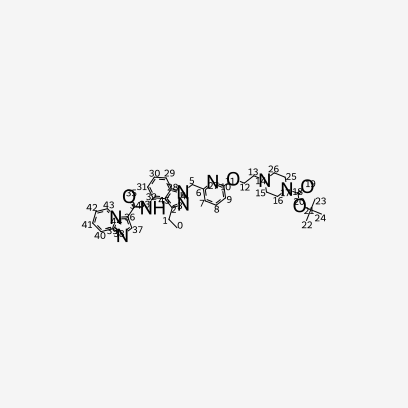 CCc1nn(Cc2cccc(OCCN3CCN(C(=O)OC(C)(C)C)CC3)n2)c2cccc(NC(=O)c3cnc4ccccn34)c12